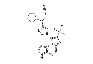 N#CCC(C1CCCC1)n1cc(-n2c(C(F)(F)F)nc3cnc4[nH]ccc4c32)cn1